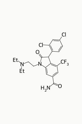 CCN(CC)CCN1C(=O)C(c2ccc(Cl)cc2Cl)c2c1cc(C(N)=O)cc2C(F)(F)F